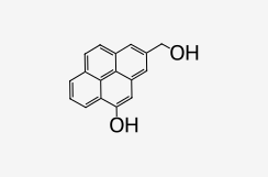 OCc1cc2ccc3cccc4c(O)cc(c1)c2c34